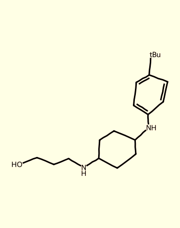 CC(C)(C)c1ccc(NC2CCC(NCCCO)CC2)cc1